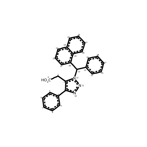 O=C(O)Cc1c(-c2ccccc2)nnn1C(c1ccccc1)c1cccc2ccccc12